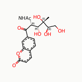 CC(=O)N[C@@H](C(=O)c1ccc2ccc(=O)oc2c1)[C@@H](O)[C@](C)(O)[C@H](O)CO